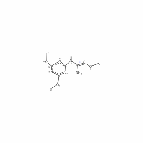 CO/N=C(\N)Nc1nc(OC)nc(OC)n1